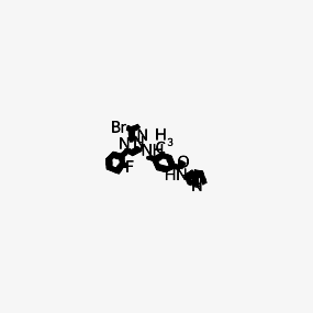 Cc1cc(C(=O)NC2CN3CCC2CC3)ccc1CNc1cc(-c2ccccc2F)nc2c(Br)cnn12